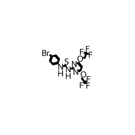 FC(F)(F)COc1cc(OCC(F)(F)F)nc(NC(=S)Nc2ccc(Br)cc2)n1